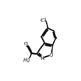 O=C(O)c1noc2ccc(Cl)cc12